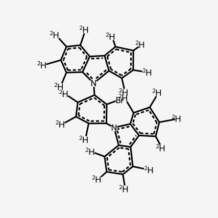 [2H]c1c([2H])c(-n2c3c([2H])c([2H])c([2H])c([2H])c3c3c([2H])c([2H])c([2H])c([2H])c32)c(Br)c(-n2c3c([2H])c([2H])c([2H])c([2H])c3c3c([2H])c([2H])c([2H])c([2H])c32)c1[2H]